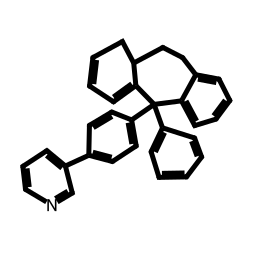 C1=CCC2CCc3ccccc3C(c3ccccc3)(c3ccc(-c4cccnc4)cc3)C2=C1